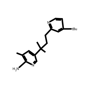 Cc1cc(C(C)(C)CCc2cc(C(C)(C)C)ccn2)cnc1N